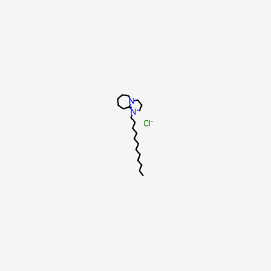 CCCCCCCCCCCC[N+]1=C2CCCCCN2CCC1.[Cl-]